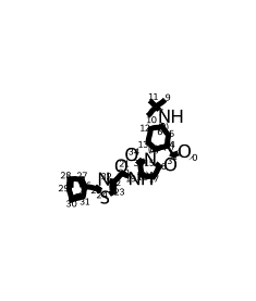 COC(=O)[C@@H]1C[C@H](NC(C)(C)C)CC[C@@H]1N1CC[C@H](NC(=O)c2csc(-c3ccccc3)n2)C1=O